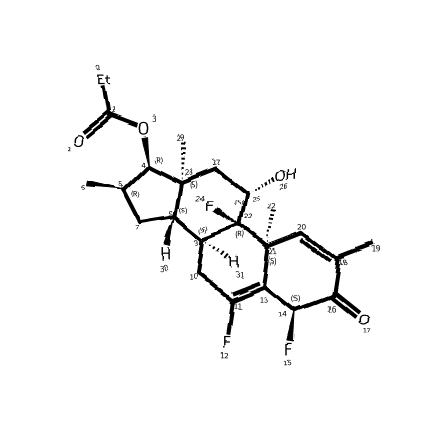 CCC(=O)O[C@@H]1[C@H](C)C[C@H]2[C@@H]3CC(F)=C4[C@H](F)C(=O)C(C)=C[C@]4(C)[C@@]3(F)[C@@H](O)C[C@]12C